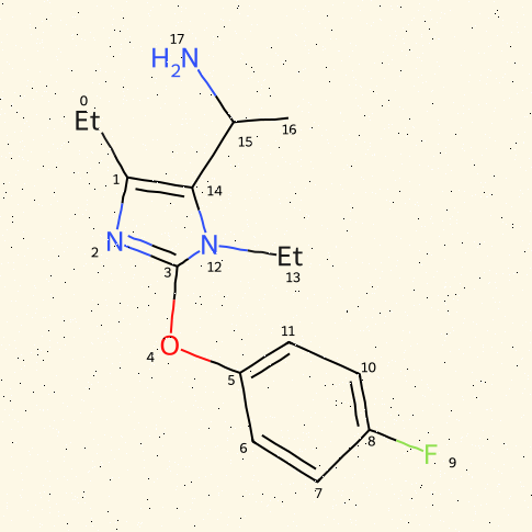 CCc1nc(Oc2ccc(F)cc2)n(CC)c1C(C)N